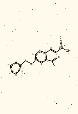 CC(=O)c1cc(OCc2ccccc2)ccc1C=CC(=O)O